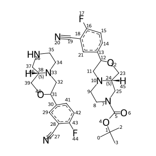 CC(C)(C)OC(=O)N1CCN2CC(c3ccc(F)c(C#N)c3)OC[C@@H]2C1.N#Cc1cc(C2CN3CCNC[C@H]3CO2)ccc1F